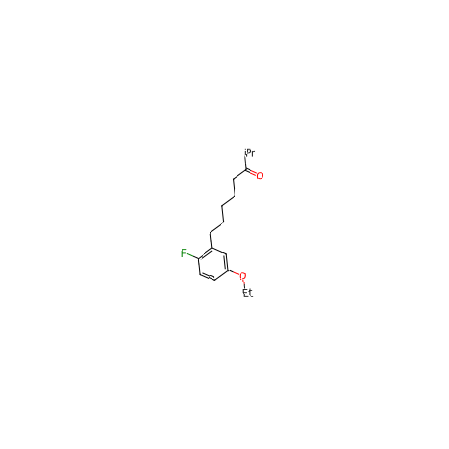 CCOc1ccc(F)c(CCCCCC(=O)C(C)C)c1